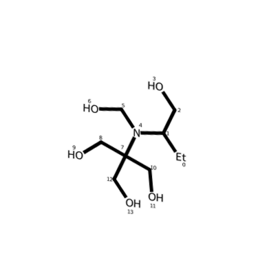 CCC(CO)N(CO)C(CO)(CO)CO